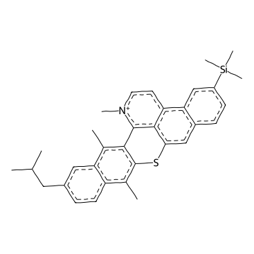 Cc1c2c(c(C)c3cc(CC(C)C)ccc13)-c1c3c(cc4ccc([Si](C)(C)C)cc4c3cc[n+]1C)S2